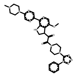 COc1cnc(-c2cnc(N3CCN(C)CC3)cn2)c2c1C(C(=O)C(=O)N1CCN(c3nnnn3-c3ccccc3)CC1)CN2